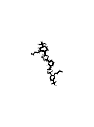 CCCCc1cc(C(C)(C)C)ccc1-c1nnc(-c2cccc(-c3nnc(-c4ccc(C(C)(C)C)cc4CCCC)o3)c2)o1